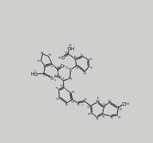 O=C(O)C1=C(C(=O)NC(CSc2ccccc2C(=O)O)c2cccc(/C=C/c3ccc4ccc(Cl)cc4n3)c2)CCC1